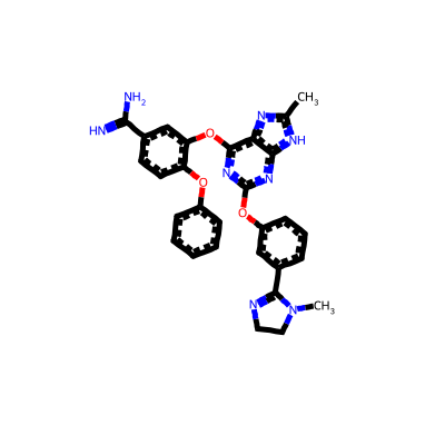 Cc1nc2c(Oc3cc(C(=N)N)ccc3Oc3ccccc3)nc(Oc3cccc(C4=NCCN4C)c3)nc2[nH]1